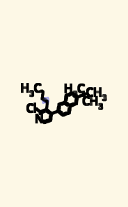 CC/C=C/c1c(-c2ccc3cc(C(C)(C)C)ccc3c2)ccnc1Cl